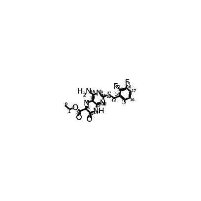 CCOC(=O)c1nc2c(N)nc(SCc3cccc(F)c3F)nc2[nH]c1=O